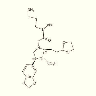 CCCCN(CCCN)C(=O)CN1C[C@H](c2ccc3c(c2)OCO3)[C@@H](C(=O)O)[C@@H]1CCC1OCCO1